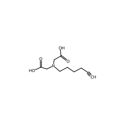 C#CCCCCN(CC(=O)O)CC(=O)O